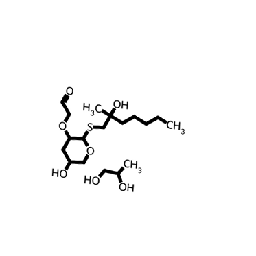 CC(O)CO.CCCCCC(C)(O)CSC1OCC(O)CC1OCC=O